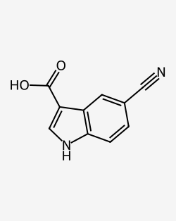 N#Cc1ccc2[nH]cc(C(=O)O)c2c1